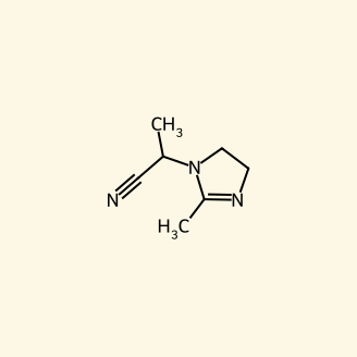 CC1=NCCN1C(C)C#N